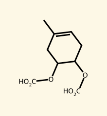 CC1=CCC(OC(=O)O)C(OC(=O)O)C1